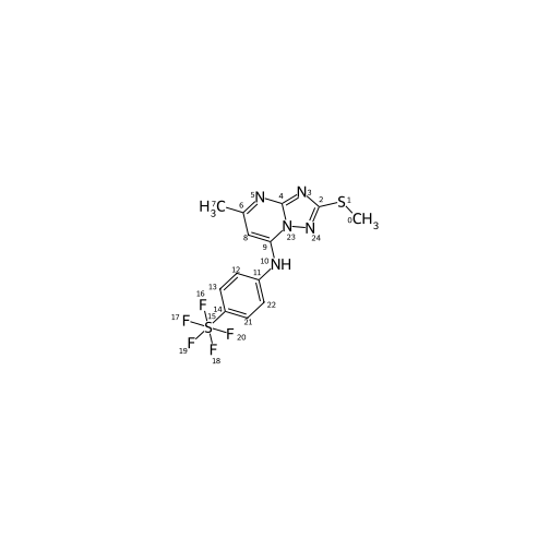 CSc1nc2nc(C)cc(Nc3ccc(S(F)(F)(F)(F)F)cc3)n2n1